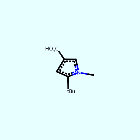 Cn1cc(C(=O)O)cc1C(C)(C)C